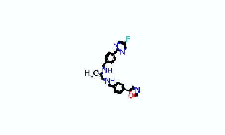 C[C@@H](CNCc1ccc(-c2cnco2)cc1)NCc1ccc(-c2ncc(F)cn2)cc1